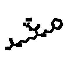 COC(=O)[C@H](CCCCNC(=O)O)NOCc1ccccc1.Cl